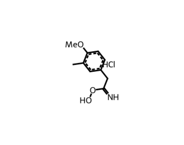 COc1ccc(CC(=N)OO)cc1C.Cl